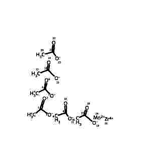 CC(=O)[O-].CC(=O)[O-].CC(=O)[O-].CC(=O)[O-].CC(=O)[O-].CC(=O)[O-].[Mn+2].[Zr+4]